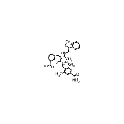 C=N/C(=C\NC(C)N(Cc1cccc(C(=O)O)c1)C(=O)[C@@H](N)Cc1c(C)cc(C(N)=O)cc1C)c1ccccc1